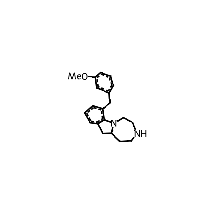 COc1cccc(Cc2cccc3c2N2CCNCCC2C3)c1